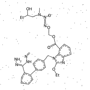 C=NN/C(=N\N)c1ccccc1-c1ccc(Cn2c(OCC)nc3cccc(C(=O)OCO/N=[N+](\[O-])N(C)CC(O)CC)c32)cc1